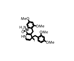 COc1ccc(CC2=C(S(N)(=O)=O)NC=CC2(I)Cc2ccc(OC)cc2OC)c(OC)c1